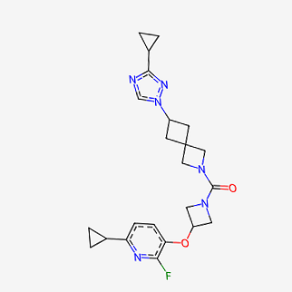 O=C(N1CC(Oc2ccc(C3CC3)nc2F)C1)N1CC2(CC(n3cnc(C4CC4)n3)C2)C1